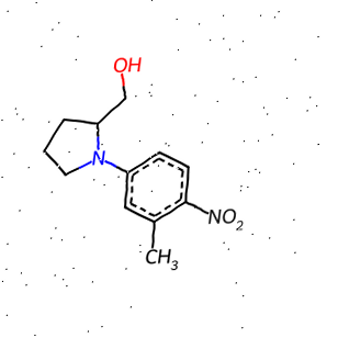 Cc1cc(N2CCCC2CO)ccc1[N+](=O)[O-]